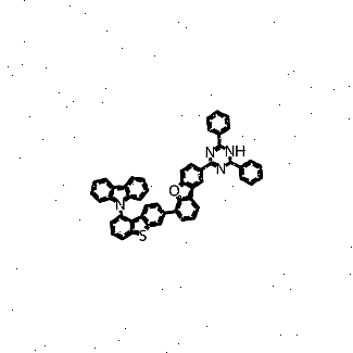 c1ccc(C2=NC(c3ccc4oc5c(-c6ccc7c(c6)sc6cccc(-n8c9ccccc9c9ccccc98)c67)cccc5c4c3)=NC(c3ccccc3)N2)cc1